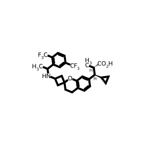 CC(NC1CC2(CCc3ccc([C@H](C4CC4)[C@H](C)C(=O)O)cc3O2)C1)c1cc(C(F)(F)F)ccc1C(F)(F)F